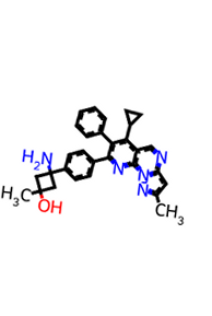 Cc1cc2ncc3c(C4CC4)c(-c4ccccc4)c(-c4ccc(C5(N)CC(C)(O)C5)cc4)nc3n2n1